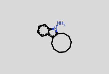 Nn1c2c(c3ccccc31)CCCCCCCC2